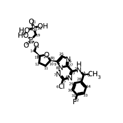 C[C@H](Nc1nc(Cl)nn2c([C@H]3CC[C@@H](COP(=O)(O)CP(=O)(O)O)O3)cnc12)c1ccc(F)cc1